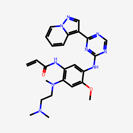 C=CC(=O)Nc1cc(Nc2ncnc(-c3cnn4ccccc34)n2)c(OC)cc1N(C)CCN(C)C